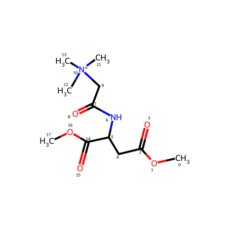 COC(=O)CC(NC(=O)C[N+](C)(C)C)C(=O)OC